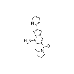 CC1CCCN1C(=O)c1cc(N)n2nc(-c3ccccn3)nc2c1